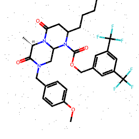 COc1ccc(CN2CC3N(C(=O)OCc4cc(C(F)(F)F)cc(C(F)(F)F)c4)C(CCCCN)CC(=O)N3[C@@H](C)C2=O)cc1